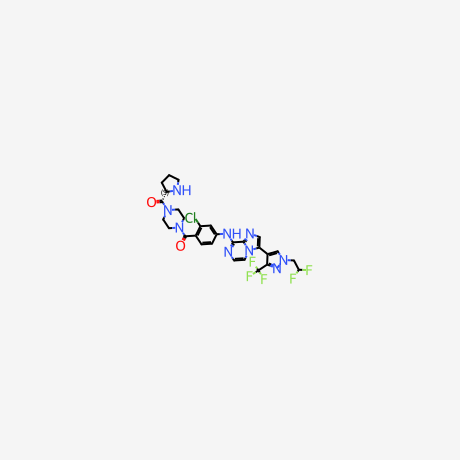 O=C(c1ccc(Nc2nccn3c(-c4cn(CC(F)F)nc4C(F)(F)F)cnc23)cc1Cl)N1CCN(C(=O)[C@@H]2CCCN2)CC1